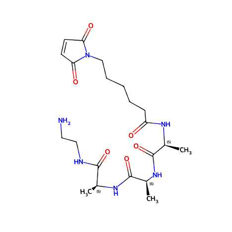 C[C@H](NC(=O)CCCCCN1C(=O)C=CC1=O)C(=O)N[C@@H](C)C(=O)N[C@@H](C)C(=O)NCCN